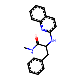 CNC(=O)C(Cc1ccccc1)Nc1ccc2ccccc2n1